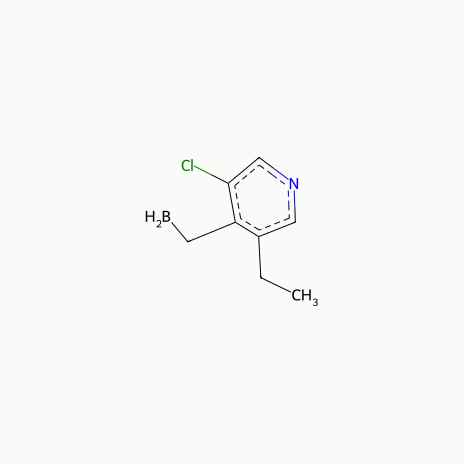 BCc1c(Cl)cncc1CC